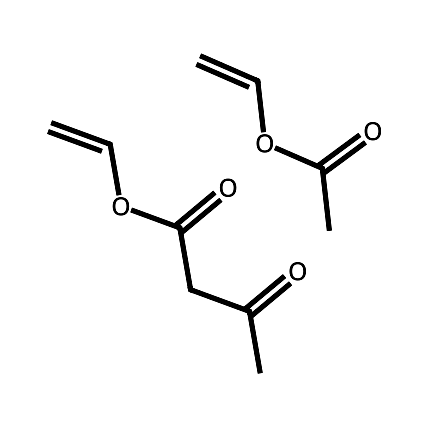 C=COC(=O)CC(C)=O.C=COC(C)=O